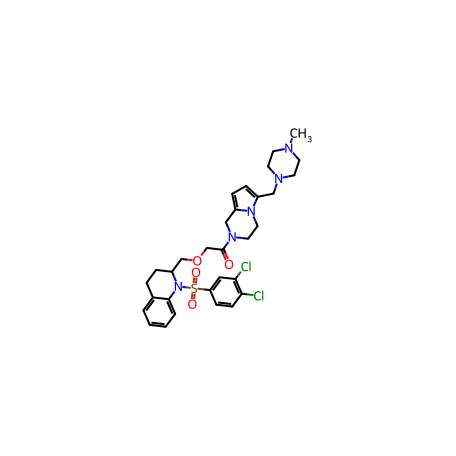 CN1CCN(Cc2ccc3n2CCN(C(=O)COCC2CCc4ccccc4N2S(=O)(=O)c2ccc(Cl)c(Cl)c2)C3)CC1